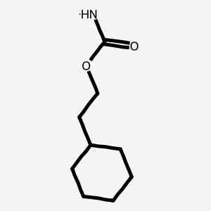 [NH]C(=O)OCCC1CCCCC1